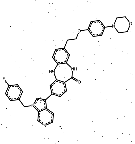 O=C1Nc2cc(CCOc3ccc(N4CCOCC4)cc3)ccc2Nc2cc(-c3cn(Cc4ccc(F)cc4)c4cnccc34)ccc21